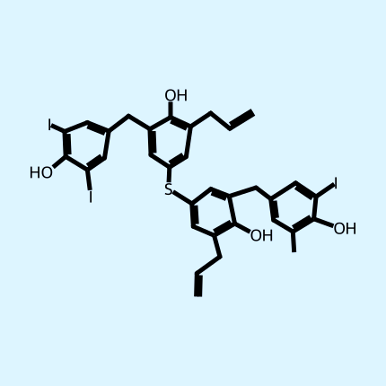 C=CCc1cc(Sc2cc(CC=C)c(O)c(Cc3cc(I)c(O)c(I)c3)c2)cc(Cc2cc(C)c(O)c(I)c2)c1O